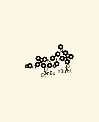 CCCCC(CC)COc1ccc(C2(c3ccc(Oc4ccc5c(c4)CC5)cc3)c3ccccc3-c3ccc(N(c4ccccc4)c4ccc(-c5ccc(N(C6=CC7C(C=C6)c6ccccc6C7(c6ccc(OCC(CC)CCCC)cc6)c6ccc(Oc7ccc8c(c7)CC8)cc6)c6ccccc6)cc5)cc4)cc32)cc1